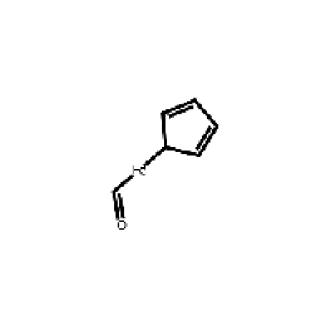 O=[CH][Fe][CH]1C=CC=C1